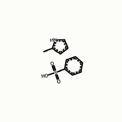 Cc1ccc[nH]1.O=S(=O)(O)c1ccccc1